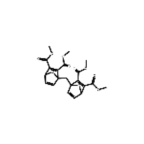 COC(=O)C1=C(C(=O)OC)C2(CC34C=CC(O3)C(C(=O)OC)=C4C(=O)OC)C=CC1O2